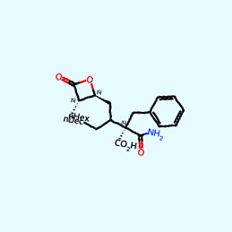 CCCCCCCCCCCC(C[C@@H]1OC(=O)[C@H]1CCCCCC)[C@@](Cc1ccccc1)(C(N)=O)C(=O)O